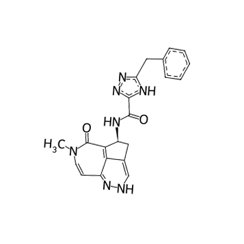 CN1C=CC2=NNC=C3C[C@H](NC(=O)c4nnc(Cc5ccccc5)[nH]4)C(=C32)C1=O